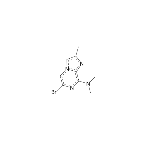 Cc1cn2cc(Br)nc(N(C)C)c2n1